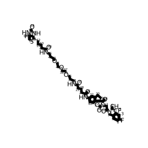 C[C@H](N(Cc1ccc(F)cc1)C(=O)CN1C(=O)O[C@@]2(CCc3cc(NC(=O)CCCC(=O)NCCCOCCOCCOCCCNC(=O)CCCC[C@@H]4SC[C@@H]5NC(=O)NC54)ccc32)C1=O)C(F)(F)F